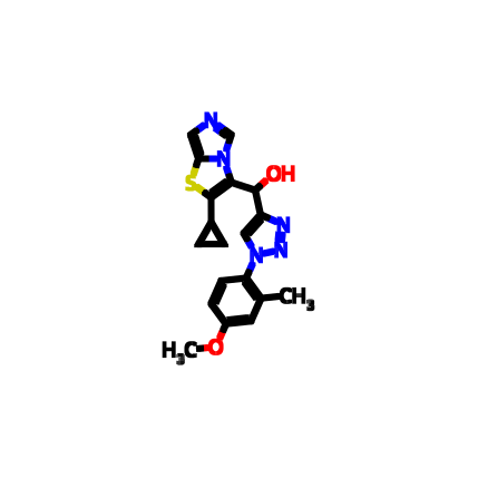 COc1ccc(-n2cc(C(O)c3c(C4CC4)sc4cncn34)nn2)c(C)c1